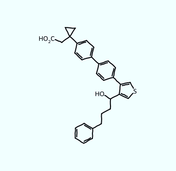 O=C(O)CC1(c2ccc(-c3ccc(-c4cscc4C(O)CCCc4ccccc4)cc3)cc2)CC1